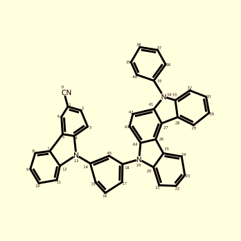 N#Cc1ccc2c(c1)c1ccccc1n2-c1cccc(-n2c3ccccc3c3c4c5ccccc5n(-c5ccccc5)c4ccc32)c1